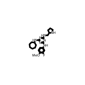 COc1ccc(Nc2nc(NCC3CCCN3)nc(NC3CCCCCC3)n2)cc1F